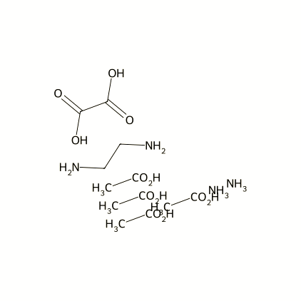 CC(=O)O.CC(=O)O.CC(=O)O.CC(=O)O.N.N.NCCN.O=C(O)C(=O)O